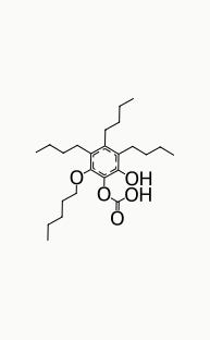 CCCCCOc1c(CCCC)c(CCCC)c(CCCC)c(O)c1OC(=O)O